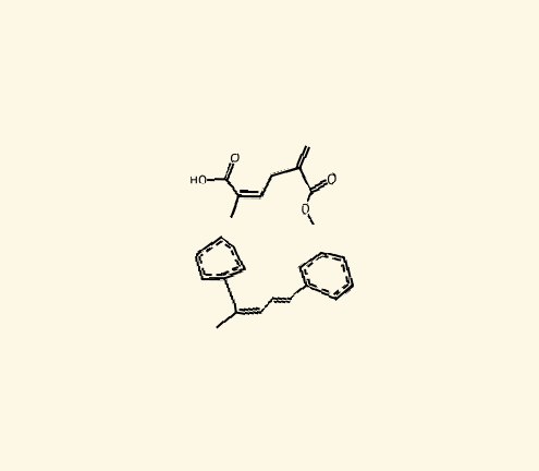 C=C(CC=C(C)C(=O)O)C(=O)OC.CC(=CC=Cc1ccccc1)c1ccccc1